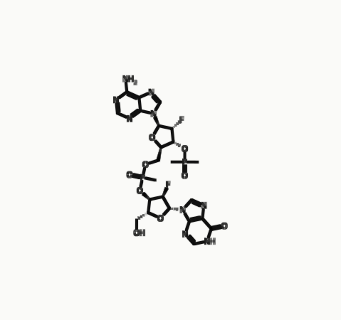 CP(C)(=O)O[C@H]1[C@@H](F)[C@H](n2cnc3c(N)ncnc32)O[C@@H]1COP(C)(=O)O[C@H]1[C@@H](F)[C@H](n2cnc3c(=O)[nH]cnc32)O[C@@H]1CO